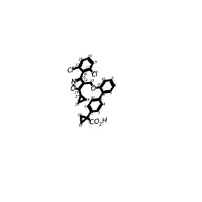 O=C(O)C1(c2ccc(-c3ccccc3OCc3c(-c4c(Cl)cccc4Cl)noc3C3CC3)cc2)CC1